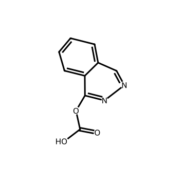 O=C(O)Oc1nncc2ccccc12